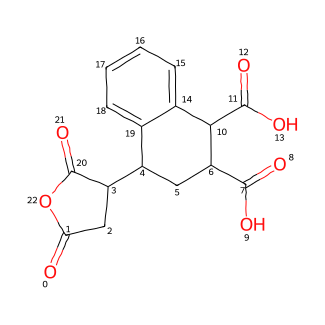 O=C1CC(C2CC(C(=O)O)C(C(=O)O)c3ccccc32)C(=O)O1